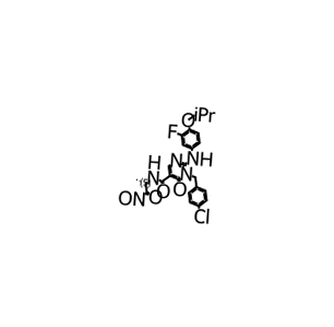 CC(C)Oc1ccc(Nc2ncc(C(=O)N[C@@H](C)C(=O)N=O)c(=O)n2Cc2ccc(Cl)cc2)cc1F